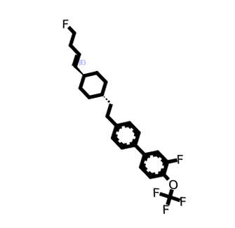 FCC/C=C/[C@H]1CC[C@H](CCc2ccc(-c3ccc(OC(F)(F)F)c(F)c3)cc2)CC1